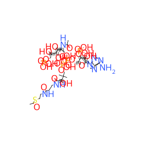 CC(=O)N[C@@H](C=O)[C@@H](O)[C@H](O)[C@H](O)COP(=O)(O)O.CC(=O)SCCNC(=O)CCNC(=O)[C@H](O)C(C)(C)COP(=O)(O)OP(=O)(O)OC[C@H]1O[C@@H](n2cnc3c(N)ncnc32)[C@H](O)[C@@H]1OP(=O)(O)O